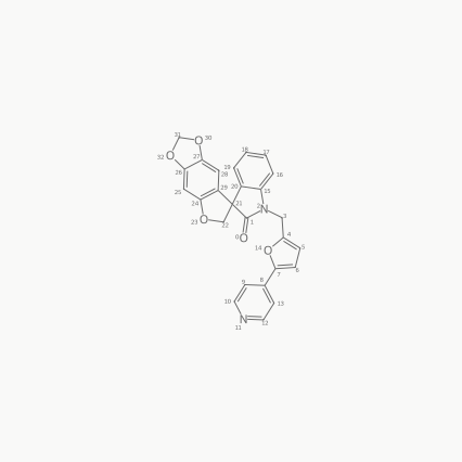 O=C1N(Cc2ccc(-c3ccncc3)o2)c2ccccc2C12COc1cc3c(cc12)OCO3